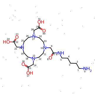 NCCCCCNC(=O)CN1CCN(CC(=O)O)CCN(CC(=O)O)CCN(CC(=O)O)CC1